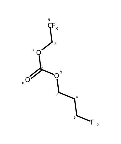 O=C(OCCCF)OCC(F)(F)F